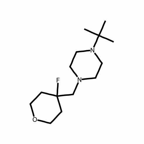 CC(C)(C)N1CCN(CC2(F)CCOCC2)CC1